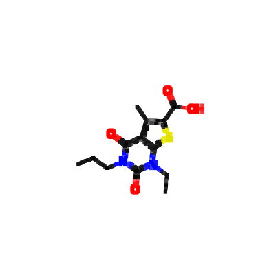 CCCn1c(=O)c2c(C)c(C(=O)O)sc2n(CC)c1=O